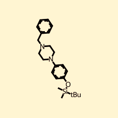 CC(C)(C)[Si](C)(C)Oc1ccc(N2CCN(Cc3ccccc3)CC2)cc1